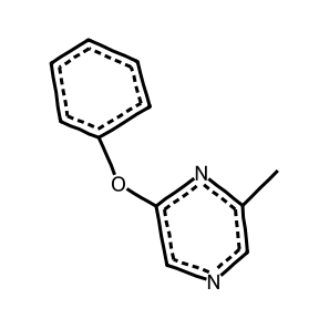 Cc1cncc(Oc2ccccc2)n1